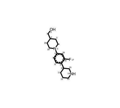 OCC1CCN(c2ccc(C3CCCNC3)c(F)c2)CC1